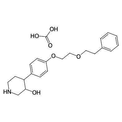 O=C(O)O.OC1CNCCC1c1ccc(OCCOCCc2ccccc2)cc1